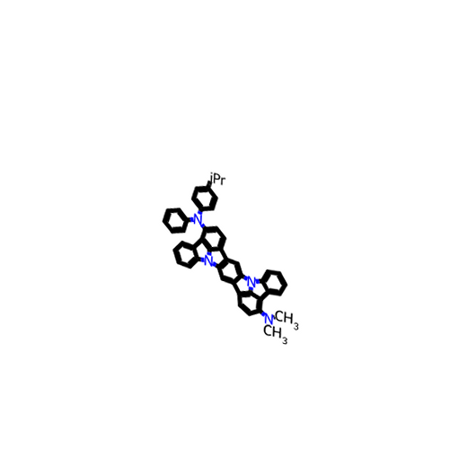 CC(C)c1ccc(N(c2ccccc2)c2ccc3c4cc5c(cc4n4c6ccccc6c2c34)c2ccc(N(C)C)c3c4ccccc4n5c23)cc1